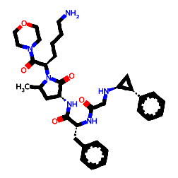 CC1C[C@@H](NC(=O)[C@@H](Cc2ccccc2)NC(=O)CN[C@H]2C[C@@H]2c2ccccc2)C(=O)N1[C@H](CCCCN)C(=O)N1CCOCC1